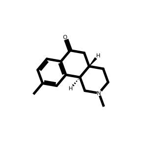 Cc1ccc2c(c1)[C@@H]1CN(C)CC[C@H]1CC2=O